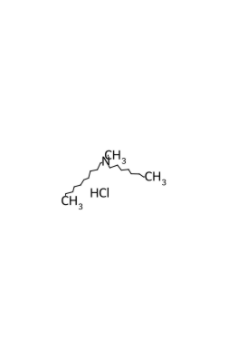 CCCCCCCCCCN(C)CCCCCCCC.Cl